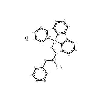 CN(CC[P+](c1ccccc1)(c1ccccc1)c1ccccc1)Cc1ccccc1.[Cl-]